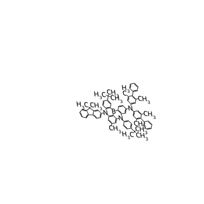 Cc1cc2c3c(c1)N(c1ccc(C(C)(C)C)cc1)c1cc(N(c4cc(C)c(-c5ccccc5)c(C)c4)c4cc(C)c(-c5ccccc5)c(C)c4)ccc1B3c1cc(C(C)(C)C)ccc1N2c1ccc2c(c1)C(C)(C)c1ccccc1-2